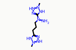 CN1NN=C(CCCN(N)C2=NNN(C)N2)N1